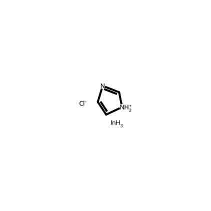 C1=C[NH2+]C=N1.[Cl-].[InH3]